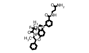 C[C@H](NC(=O)C(C)(F)F)[C@H](Oc1ccc2c(c1)ncn2-c1cccc(C(=O)NCCC(N)=O)c1)c1ccccc1